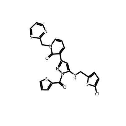 O=C(c1cccs1)n1nc(-c2cccn(Cc3ncccn3)c2=O)cc1NCc1ccc(Cl)s1